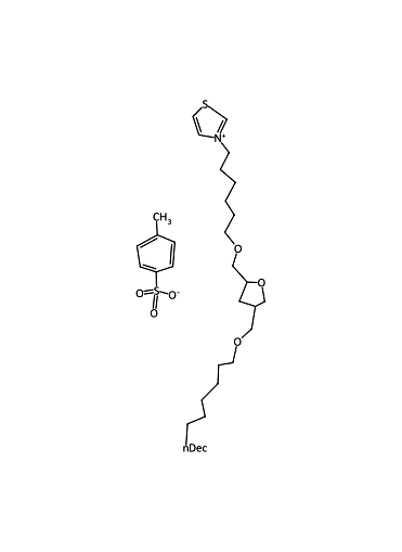 CCCCCCCCCCCCCCCCOCC1COC(COCCCCCC[n+]2ccsc2)C1.Cc1ccc(S(=O)(=O)[O-])cc1